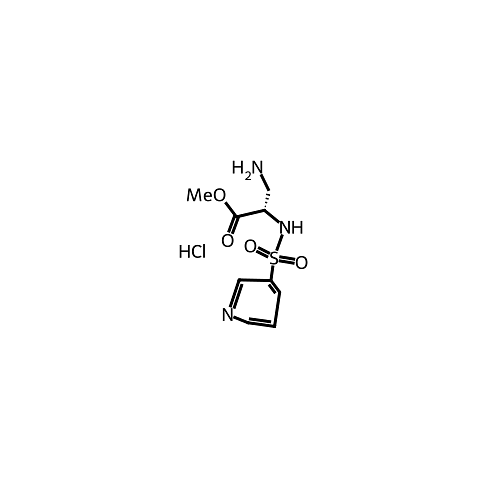 COC(=O)[C@H](CN)NS(=O)(=O)c1cccnc1.Cl